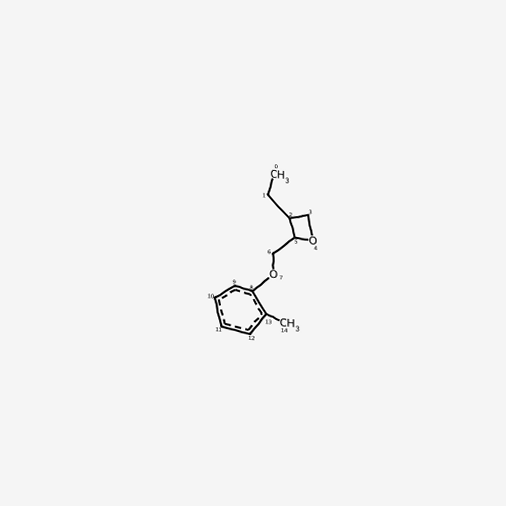 CCC1COC1COc1ccccc1C